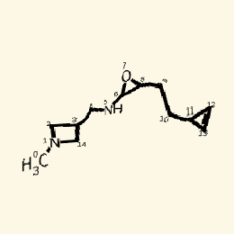 CN1CC(CNC2OC2CCC2C=C2)C1